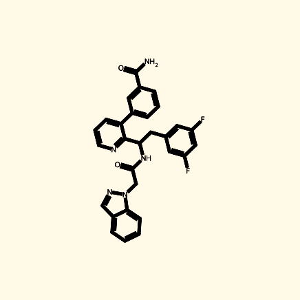 NC(=O)c1cccc(-c2cccnc2C(Cc2cc(F)cc(F)c2)NC(=O)Cn2ncc3ccccc32)c1